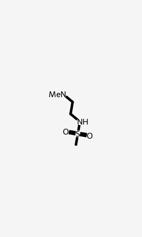 [CH2-][NH2+]CCNS(C)(=O)=O